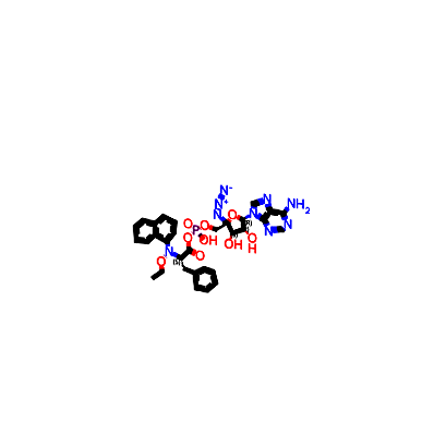 CCON(c1cccc2ccccc12)[C@@H](Cc1ccccc1)C(=O)OP(=O)(O)OC[C@@]1(N=[N+]=[N-])O[C@@H](n2cnc3c(N)ncnc32)[C@H](O)[C@@H]1O